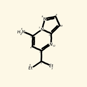 CCC(CC)c1cc(N)n2nccc2n1